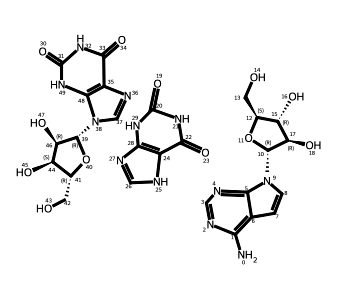 Nc1ncnc2c1ccn2[C@@H]1O[C@@H](CO)[C@H](O)[C@H]1O.O=c1[nH]c(=O)c2[nH]cnc2[nH]1.O=c1[nH]c(=O)c2ncn([C@@H]3O[C@H](CO)[C@@H](O)[C@H]3O)c2[nH]1